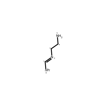 CCCC=NCCN